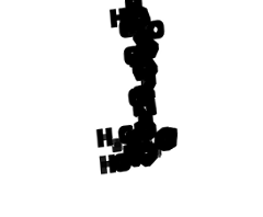 COc1cc(N2CCC3(CC2)CC(CN2CCC4(CC2)COc2c4ccc4c2CN([C@H]2CCC(=O)NC2=O)C4=O)CO3)ccc1[C@H]1c2ccc(O)cc2CC[C@H]1c1ccccc1